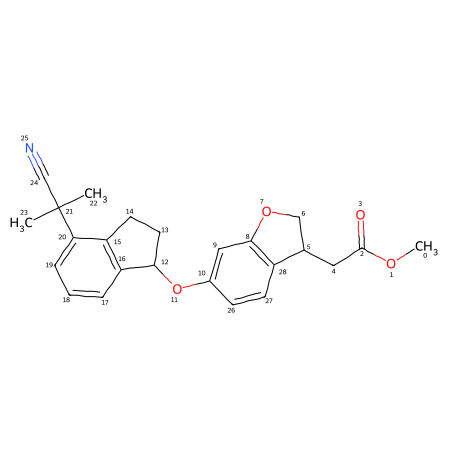 COC(=O)CC1COc2cc(OC3CCc4c3cccc4C(C)(C)C#N)ccc21